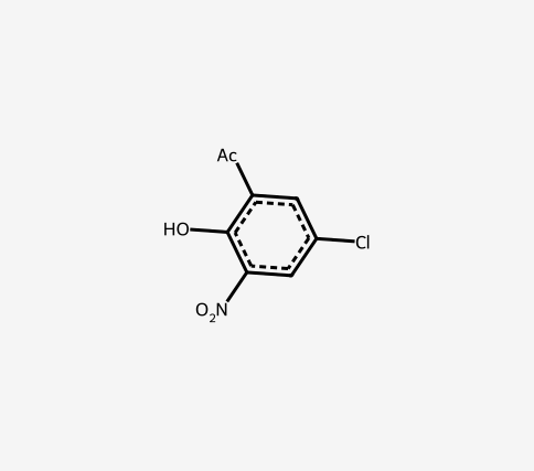 CC(=O)c1cc(Cl)cc([N+](=O)[O-])c1O